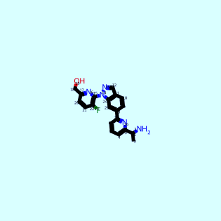 CC(N)c1cccc(-c2ccc3cnn(-c4nc(CO)ccc4F)c3c2)n1